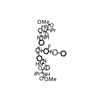 COC(=O)NC(C(=O)N1CCC[C@H]1c1nc2cc([C@H]3CC[C@H](c4ccc5[nH]c([C@@H]6CCCN6C(=O)[C@@H](NC(=O)OC)C(C)C)nc5c4)N3c3ccc(N4CCC(c5ccccc5)CC4)c(F)c3)ccc2[nH]1)C(C)C